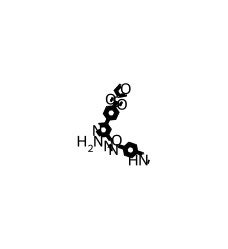 CNCc1ccc(-c2nnc(-c3cc(-c4ccc(S(=O)(=O)C5CCOC5)cc4)cnc3N)o2)cc1